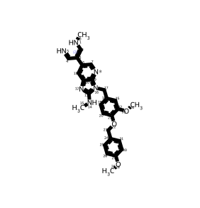 CN/C=C(\C=N)c1cnc2c(c1)nc(NC)n2Cc1ccc(OCc2ccc(OC)cc2)c(OC)c1